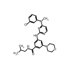 CC(C)CNC(=O)c1cc(Nc2nccc(N(C)c3cccc(Cl)c3)n2)cc(N2CCOCC2)c1